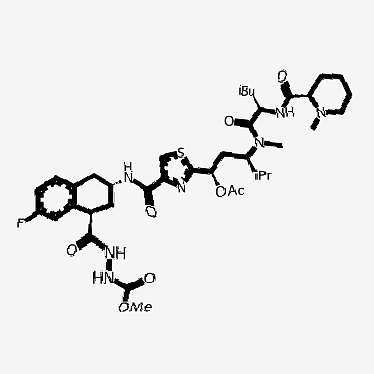 CC[C@H](C)C(NC(=O)[C@H]1CCCCN1C)C(=O)N(C)[C@H](C[C@@H](OC(C)=O)c1nc(C(=O)N[C@H]2Cc3ccc(F)cc3[C@H](C(=O)NNC(=O)OC)C2)cs1)C(C)C